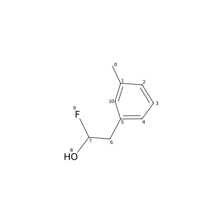 Cc1cccc(CC(O)F)c1